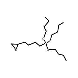 CCCCO[Si](CCCCC1CO1)(OCCCC)OCCCC